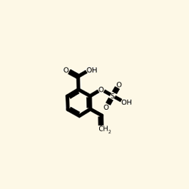 C=Cc1cccc(C(=O)O)c1OS(=O)(=O)O